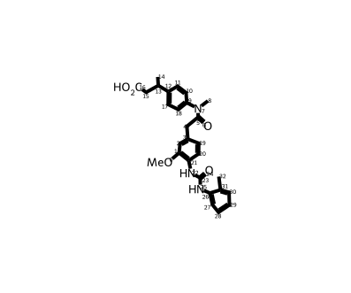 COc1cc(CC(=O)N(C)c2ccc(C(C)CC(=O)O)cc2)ccc1NC(=O)Nc1ccccc1C